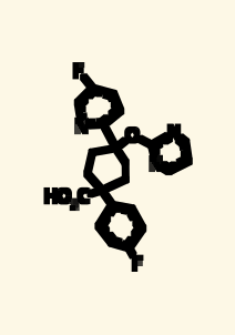 O=C(O)C1(c2ccc(F)cc2)CCC(Oc2ncccn2)(c2ccc(F)cn2)CC1